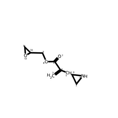 C1CN1.C=C(C)C(=O)OCC1CO1